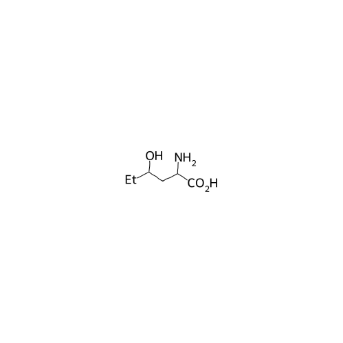 CCC(O)CC(N)C(=O)O